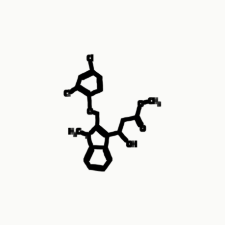 COC(=O)CC(O)c1c(COc2ccc(Cl)cc2Cl)n(C)c2ccccc12